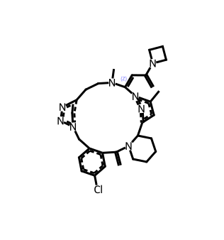 C=C(/C=C1/N(C)CCc2cn(nn2)Cc2ccc(Cl)cc2C(=C)N2CCCCC2c2cc(C)n1n2)N1CCC1